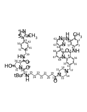 Cc1ccc(NC(=O)c2ccc(CN3CCN(C(=O)CCCCCCCN[C@H](C(=O)N4CC(O)CC4C(=O)NCc4ccc(-c5scnc5C)cc4)C(C)(C)C)CC3)cc2)cc1Nc1nccc(-c2cccnc2)n1